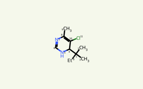 CCC(C)(C)C1NC=NC(C)=C1Cl